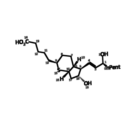 CCCCC[C@H](O)/C=C/[C@@H]1[C@H]2CC[C@H](CCCCC(=O)O)S[C@H]2C[C@H]1O